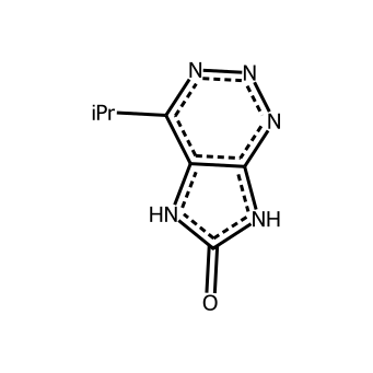 CC(C)c1nnnc2[nH]c(=O)[nH]c12